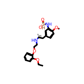 CCOc1ccccc1OCCN[C@H](C)Cc1ccc(OC)c(N[SH](=O)=O)c1